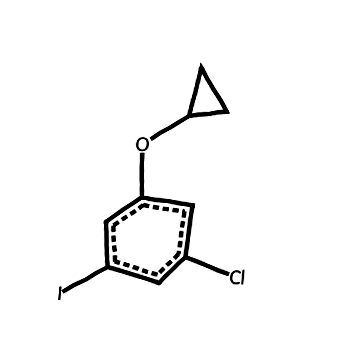 Clc1cc(I)cc(OC2CC2)c1